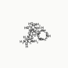 CC(OC1C(OC2OC(CO)C(O)C(N)C2O)C(N)OC(N)C1OC1OC(CN)[C@@H](O)C[C@@H]1N)N1CCCNCCNCCCNCC1